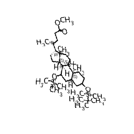 COC(=O)CC[C@@H](C)[C@H]1CC[C@H]2[C@@H]3C(O[Si](C)(C)C)C[C@@H]4CC(O[Si](C)(C)C(C)(C)C)CC[C@]4(C)[C@H]3CC[C@]12C